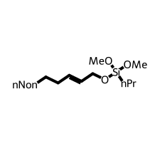 CCCCCCCCCCCC=CCO[Si](CCC)(OC)OC